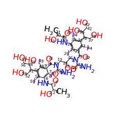 CC(O)C(=O)Nc1c(I)c(C(=O)N(CC(O)CN(C(N)=O)C(=O)c2c(I)c(NC(=O)C(C)O)c(I)c(C(CO)C(O)CO)c2I)C(N)=O)c(I)c(C(CO)C(O)CO)c1I